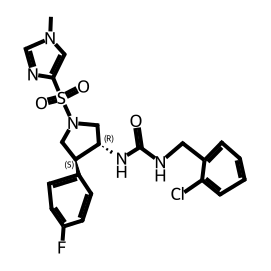 Cn1cnc(S(=O)(=O)N2C[C@H](NC(=O)NCc3ccccc3Cl)[C@@H](c3ccc(F)cc3)C2)c1